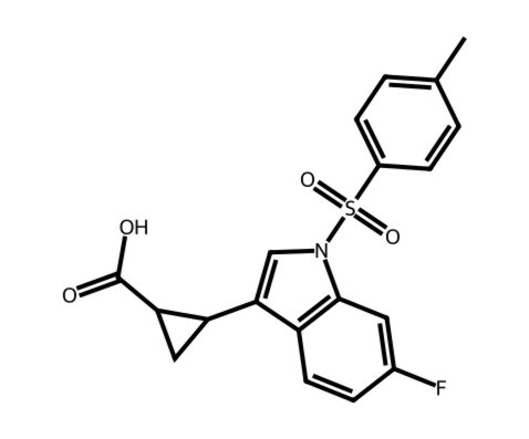 Cc1ccc(S(=O)(=O)n2cc(C3CC3C(=O)O)c3ccc(F)cc32)cc1